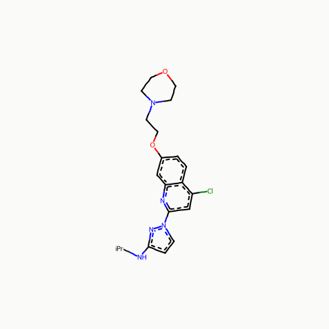 CC(C)Nc1ccn(-c2cc(Cl)c3ccc(OCCN4CCOCC4)cc3n2)n1